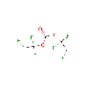 O=C(OC(F)(F)CF)OC(F)(F)CF